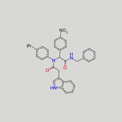 CC(C)c1ccc(N(C(=O)Cc2c[nH]c3ccccc23)C(C(=O)NCc2ccccc2)c2ccc([N+](=O)[O-])cc2)cc1